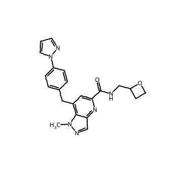 Cn1ncc2nc(C(=O)NCC3CCO3)cc(Cc3ccc(-n4cccn4)cc3)c21